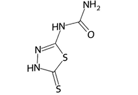 NC(=O)Nc1n[nH]c(=S)s1